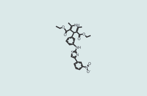 CCOC(=O)C1=C(C)NC(C)=C(C(=O)OCC)C1c1cccc(Nc2nc(-c3cccc([N+](=O)[O-])c3)cs2)c1